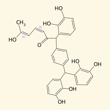 C/C(O)=C\C=C/C(=O)C(c1ccc(C(c2cccc(O)c2O)c2cccc(O)c2O)cc1)c1cccc(O)c1O